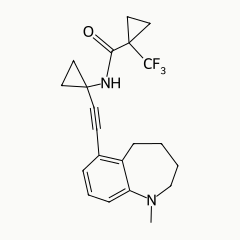 CN1CCCCc2c(C#CC3(NC(=O)C4(C(F)(F)F)CC4)CC3)cccc21